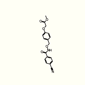 COC(=O)COc1ccc(CONC(=O)c2ccc(C#N)cc2)cc1